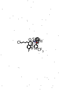 CS/C(=N\[C@@H]1C2CC[C@H]1CN(c1ccnc(C(F)(F)F)c1)C2)NC(=O)C(CCCCCl)c1ccc(F)c(F)c1F